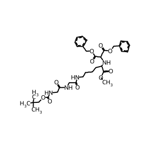 COC(=O)C(CCCCNC(=O)CNC(=O)CNC(=O)OCC(C)(C)C)NC(C(=O)OCc1ccccc1)C(=O)OCc1ccccc1